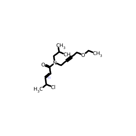 CCOCC#CCN(CC(C)C)C(=O)/C=C/C(C)Cl